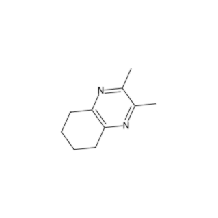 Cc1nc2c(nc1C)CCCC2